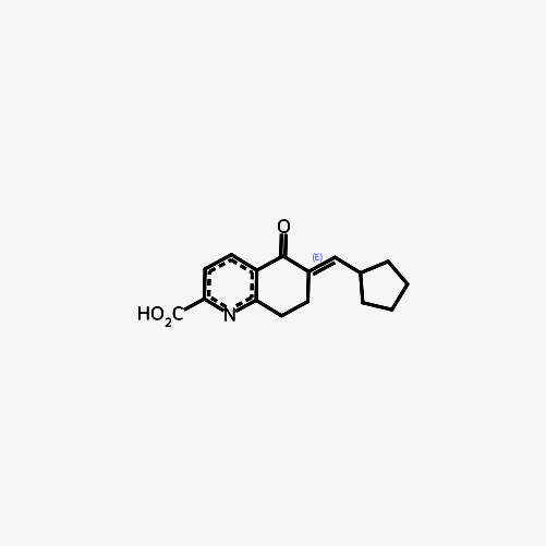 O=C(O)c1ccc2c(n1)CC/C(=C\C1CCCC1)C2=O